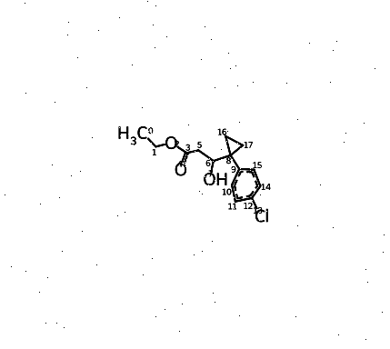 CCOC(=O)CC(O)C1(c2ccc(Cl)cc2)CC1